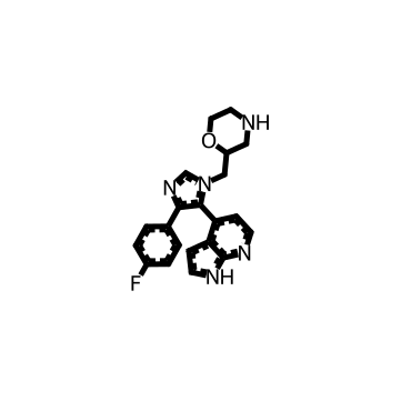 Fc1ccc(-c2ncn(CC3CNCCO3)c2-c2ccnc3[nH]ccc23)cc1